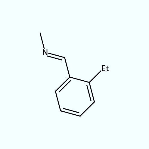 CCc1ccccc1/C=N/C